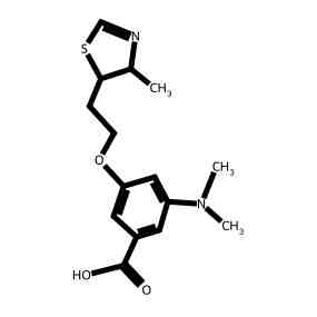 CC1N=CSC1CCOc1cc(C(=O)O)cc(N(C)C)c1